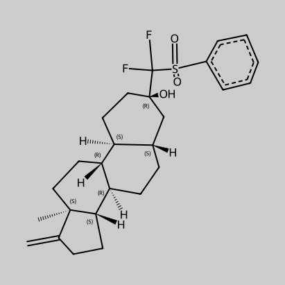 C=C1CC[C@H]2[C@@H]3CC[C@H]4C[C@@](O)(C(F)(F)S(=O)(=O)c5ccccc5)CC[C@@H]4[C@H]3CC[C@]12C